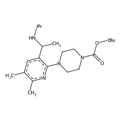 Cc1cc(C(C)NC(C)C)c(N2CCN(C(=O)OC(C)(C)C)CC2)nc1C